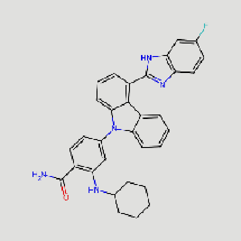 NC(=O)c1ccc(-n2c3ccccc3c3c(-c4nc5ccc(F)cc5[nH]4)cccc32)cc1NC1CCCCC1